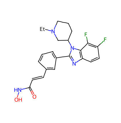 CCN1CCCC(n2c(-c3cccc(C=CC(=O)NO)c3)nc3ccc(F)c(F)c32)C1